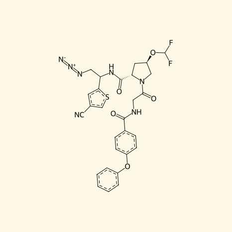 N#Cc1csc(C(CN=[N+]=[N-])NC(=O)[C@@H]2C[C@@H](OC(F)F)CN2C(=O)CNC(=O)c2ccc(Oc3ccccc3)cc2)c1